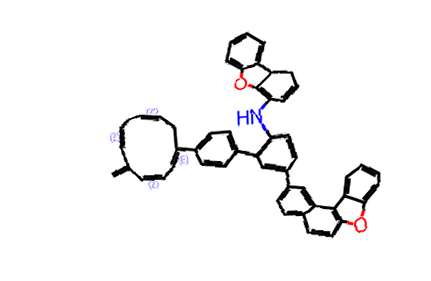 C=C1/C=C\C=C/C/C(c2ccc(C3C=C(c4ccc5ccc6oc7ccccc7c6c5c4)C=CC3NC3=C4Oc5ccccc5C4CC=C3)cc2)=C\C=C/1